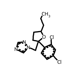 CCCC1CCC(Cn2cncn2)(c2ccc(Cl)cc2Cl)O1